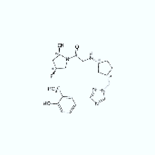 N#C[C@@H]1C[C@H](F)CN1C(=O)CN[C@@H]1CC[C@H](Cn2cncn2)C1.O=C(O)c1ccccc1O